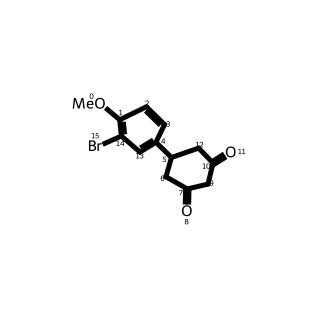 COc1ccc(C2CC(=O)CC(=O)C2)cc1Br